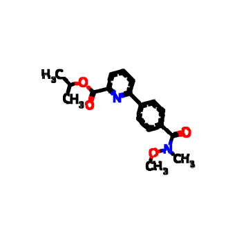 CON(C)C(=O)c1ccc(-c2cccc(C(=O)OC(C)C)n2)cc1